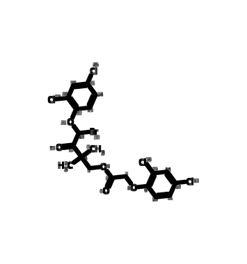 CC(C)(COC(=O)COc1ccc(Cl)cc1Cl)C(=O)C(Br)Oc1ccc(Cl)cc1Cl